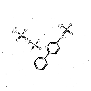 CC(C)c1ccc(-c2ccccc2)nc1.O=S(=O)([O-])C(F)(F)F.O=S(=O)([O-])C(F)(F)F.O=S(=O)([O-])C(F)(F)F.[Ir+3]